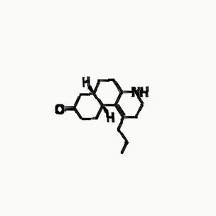 CCCC1=C2C(CC[C@H]3CC(=O)CC[C@@H]23)NCC1